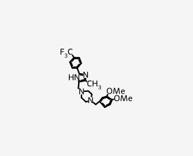 COc1ccc(CN2CCN(Cc3[nH]c(-c4ccc(C(F)(F)F)cc4)nc3C)CC2)cc1OC